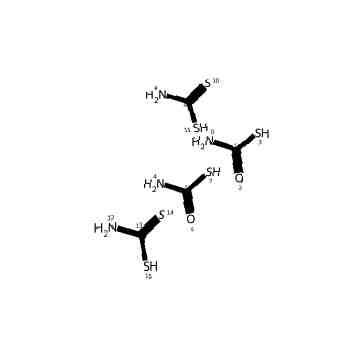 NC(=O)S.NC(=O)S.NC(=S)S.NC(=S)S